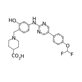 O=C(O)C1CCN(Cc2ccc(Nc3ncc(-c4ccc(OC(F)F)cc4)cn3)cc2O)CC1